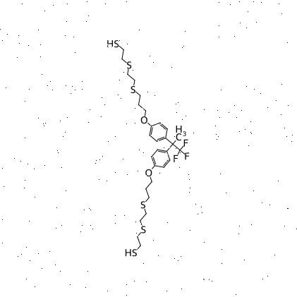 CC(c1ccc(OCCCSCCSCCS)cc1)(c1ccc(OCCCSCCSCCS)cc1)C(F)(F)F